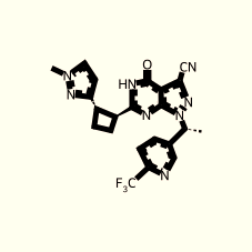 C[C@H](c1ccc(C(F)(F)F)nc1)n1nc(C#N)c2c(=O)[nH]c([C@H]3CC[C@@H]3c3ccn(C)n3)nc21